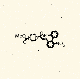 COC(=O)N1CCN(C(=O)/C=C/c2cc[c]c([N+](=O)[O-])c2-c2ccccc2C(C)C)CC1